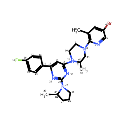 Cc1cc(Br)cnc1N1CCN(c2cc(-c3ccc(F)cc3)nc(N3CCC[C@H]3C)n2)[C@H](C)C1